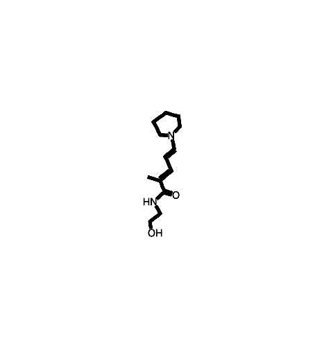 C/C(=C\C=C\N1CCCCC1)C(=O)NCCO